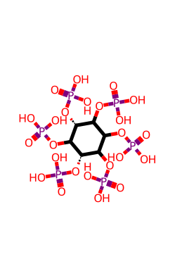 O=P(O)(O)OC1C(OP(=O)(O)O)[C@H](OP(=O)(O)O)C(OP(=O)(O)O)[C@H](OP(=O)(O)O)C1OP(=O)(O)O